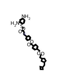 Nc1ccc(SOC(=O)/C=C/c2ccc(OC(=O)c3ccc(COC(=O)CC4CCC(CC5CCC5)C4)cc3)cc2)c(N)c1